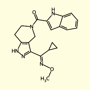 CO/N=C(/c1n[nH]c2c1CN(C(=O)c1cc3ccccc3[nH]1)CC2)C1CC1